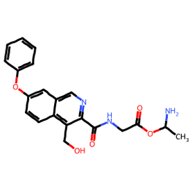 CC(N)OC(=O)CNC(=O)c1ncc2cc(Oc3ccccc3)ccc2c1CO